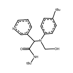 CC(C)(C)NC(=O)C(c1cccnc1)N(CO)c1ccc(C(C)(C)C)cc1